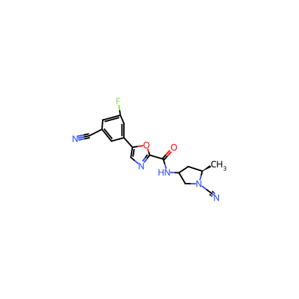 C[C@@H]1CC(NC(=O)c2ncc(-c3cc(F)cc(C#N)c3)o2)CN1C#N